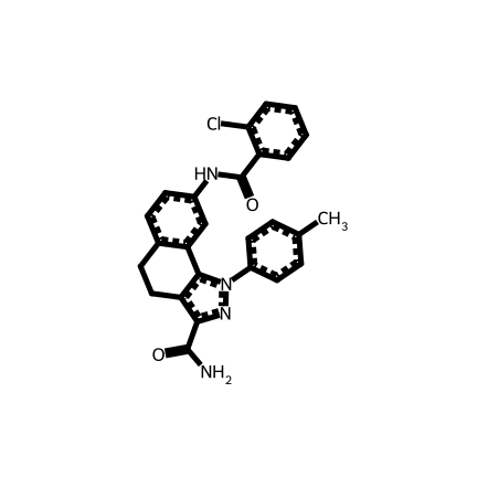 Cc1ccc(-n2nc(C(N)=O)c3c2-c2cc(NC(=O)c4ccccc4Cl)ccc2CC3)cc1